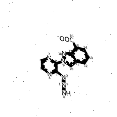 N=[N+]=Nc1nccnc1-n1cc2cccc(C(=O)[O-])c2n1